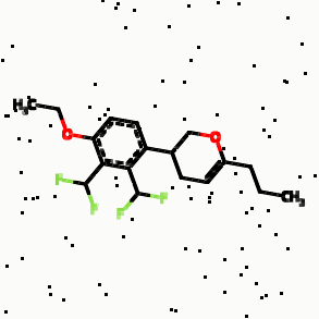 CCCC1=CCC(c2ccc(OCC)c(C(F)F)c2C(F)F)CO1